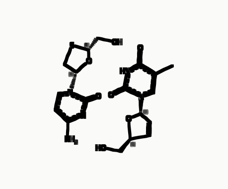 Cc1cn([C@H]2C=C[C@@H](CO)O2)c(=O)[nH]c1=O.Nc1ccn([C@@H]2CS[C@H](CO)O2)c(=O)n1